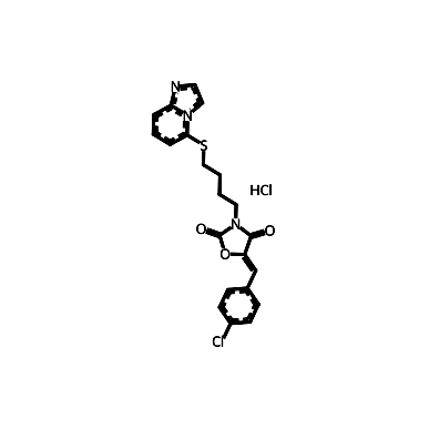 Cl.O=C1O/C(=C\c2ccc(Cl)cc2)C(=O)N1CCCCSc1cccc2nccn12